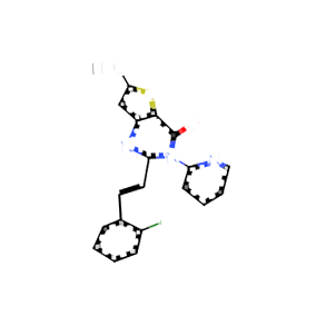 Cc1cc2nc(C=Cc3ccccc3Cl)n(-c3ccccn3)c(=O)c2s1